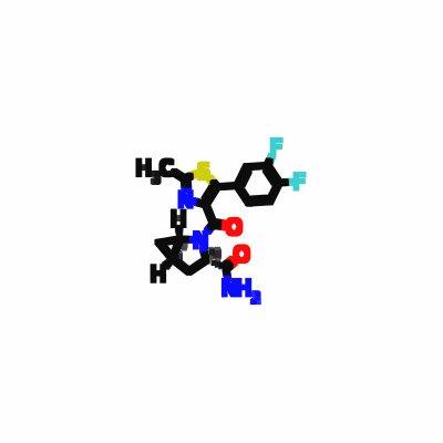 Cc1nc(C(=O)N2[C@H](C(N)=O)C[C@@H]3C[C@@H]32)c(-c2ccc(F)c(F)c2)s1